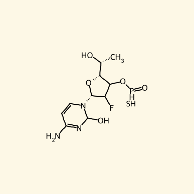 C[C@@H](O)[C@H]1O[C@@H](N2C=CC(N)=NC2O)C(F)C1O[PH](=O)S